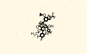 CCOc1c(C(N)=O)cc([C@@](O)(CNC(=O)c2cc(OC3CC3)c3nn(C(F)F)cc3c2)C2CC(F)(F)C2)nc1-c1cc(F)c(F)cc1F